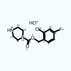 Cl.O=C(OCc1ccc(F)cc1Cl)N1CCNCC1